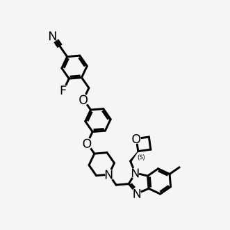 Cc1ccc2nc(CN3CCC(Oc4cccc(OCc5ccc(C#N)cc5F)c4)CC3)n(C[C@@H]3CCO3)c2c1